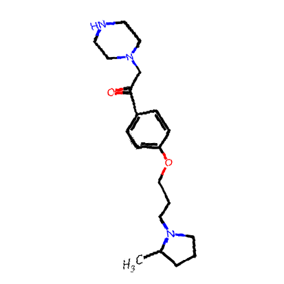 CC1CCCN1CCCOc1ccc(C(=O)CN2CCNCC2)cc1